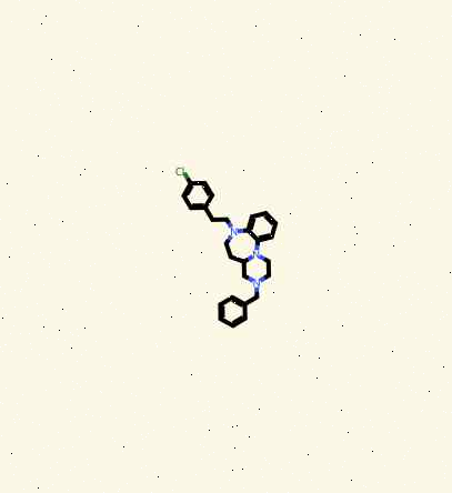 Clc1ccc(CCN2CCC3CN(Cc4ccccc4)CCN3c3ccccc32)cc1